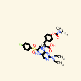 C#CC(Nc1cnc(N(CC)CC)nc1NC(Cc1ccc(OC(=O)N(C)C)cc1)C(=O)O)S(=O)(=O)c1ccc(F)cc1